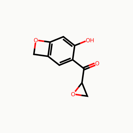 O=C(c1cc2c(cc1O)OC2)C1CO1